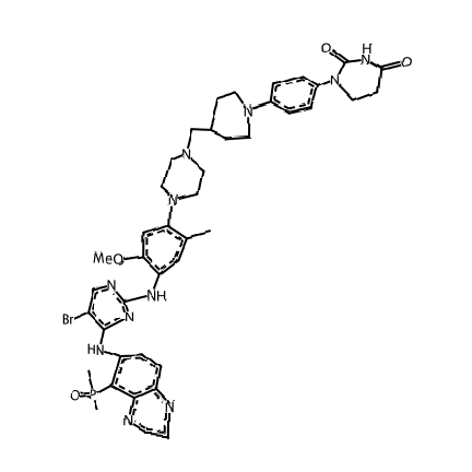 COc1cc(N2CCN(CC3CCN(c4ccc(N5CCC(=O)NC5=O)cc4)CC3)CC2)c(C)cc1Nc1ncc(Br)c(Nc2ccc3nccnc3c2P(C)(C)=O)n1